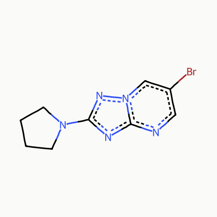 Brc1cnc2nc(N3CCCC3)nn2c1